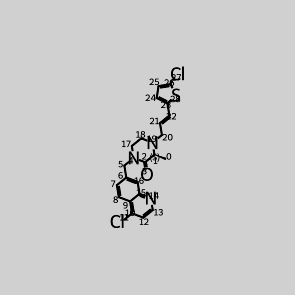 C[C@H]1C(=O)N(Cc2ccc3c(Cl)ccnc3c2)CCN1CC=Cc1ccc(Cl)s1